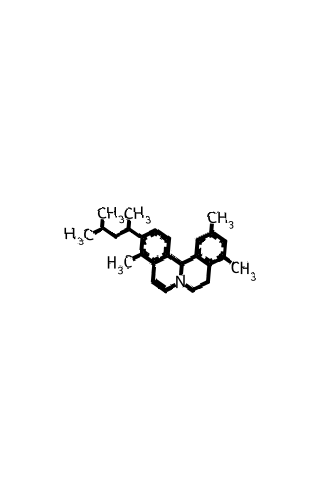 Cc1cc(C)c2c(c1)C1c3ccc(C(C)CC(C)C)c(C)c3C=CN1CC2